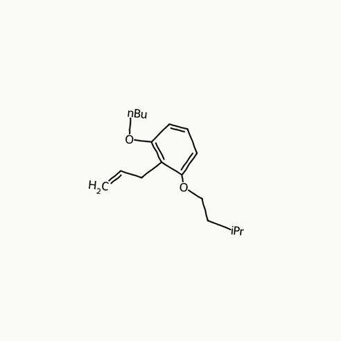 C=CCc1c(OCCCC)cccc1OCCC(C)C